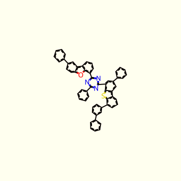 c1ccc(-c2cccc(-c3cccc4c3sc3c(-c5nc(-c6ccccc6)nc(-c6cccc7c6oc6ccc(-c8ccccc8)cc67)n5)cc(-c5ccccc5)cc34)c2)cc1